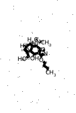 CCCCOc1noc2c1[C@@H](O)[C@]13O[C@H](C=C1CO)C[C@H]3[C@@H]2N(C)C